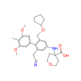 COc1cc(-c2c(CC#N)cc(NC3(C(=O)O)CCOCC3)cc2COC2CCCC2)cc(OC)c1C